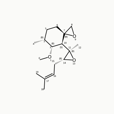 CO[C@@H]1[C@H](C)CC[C@]2(CO2)[C@H]1[C@@]1(C)O[C@@H]1CC=C(C)C